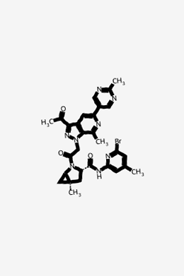 CC(=O)c1nn(CC(=O)N2C3C[C@]3(C)C[C@H]2C(=O)Nc2cc(C)cc(Br)n2)c2c(C)nc(-c3cnc(C)nc3)cc12